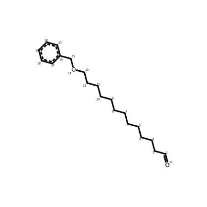 O=CCCCCCCCCCCCCOCc1ccccc1